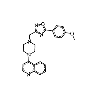 COc1ccc(-c2nc(CN3CCN(c4ccnc5ccccc45)CC3)no2)cc1